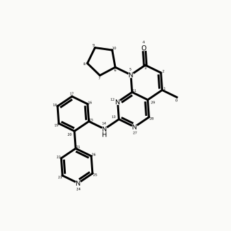 Cc1cc(=O)n(C2CCCC2)c2nc(Nc3ccccc3-c3ccncc3)ncc12